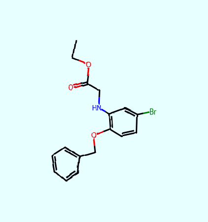 CCOC(=O)CNc1cc(Br)ccc1OCc1ccccc1